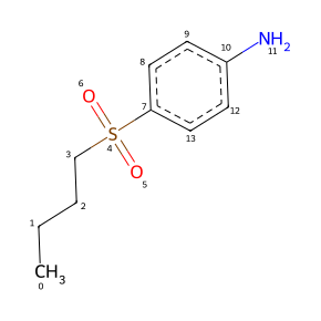 CCCCS(=O)(=O)c1ccc(N)cc1